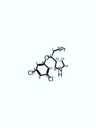 CC(C)C[C@H](Oc1cc(Cl)cc(Cl)c1)[C@@H]1CCNC1